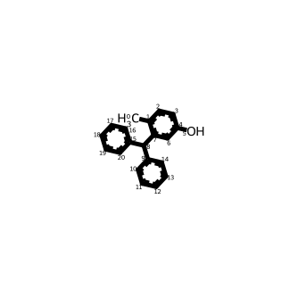 Cc1ccc(O)cc1C(c1ccccc1)c1ccccc1